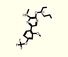 CCC[C@H](CC)Oc1ncc(-c2ccc(OC(F)(F)F)cc2OC)nc1NC